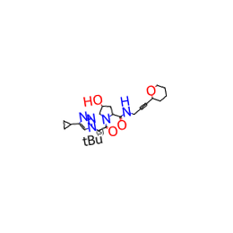 CC(C)(C)[C@@H](C(=O)N1CC(O)CC1C(=O)NCC#CC1CCCCO1)n1cc(C2CC2)nn1